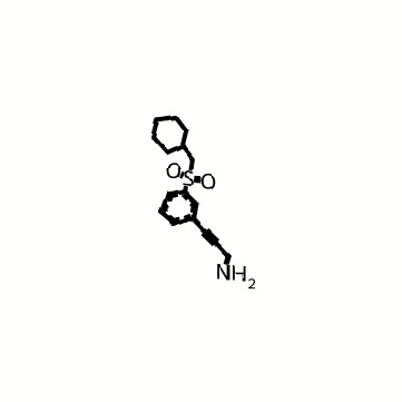 NCC#Cc1cccc(S(=O)(=O)CC2CCCCC2)c1